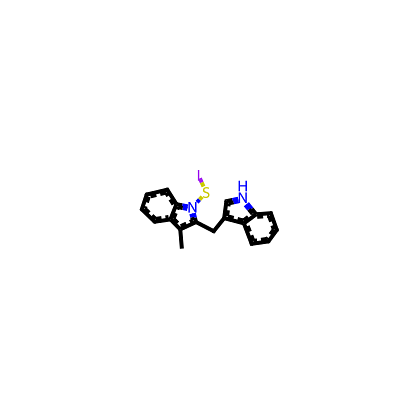 Cc1c(Cc2c[nH]c3ccccc23)n(SI)c2ccccc12